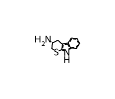 N[C@H]1CSc2[nH]c3ccccc3c2C1